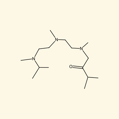 CC(C)C(=O)CN(C)CCN(C)CCN(C)C(C)C